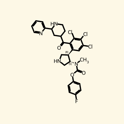 CN(C(=O)Oc1ccc(F)cc1)[C@@H]1CNC[C@H]1c1cc(Cl)c(Cl)c(Cl)c1C(=O)C1CCNC(c2ccccn2)C1